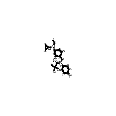 CCN(c1ccc(CN(C(=O)C(C)(C)C)c2ccc(F)cc2)cc1)C1CC1